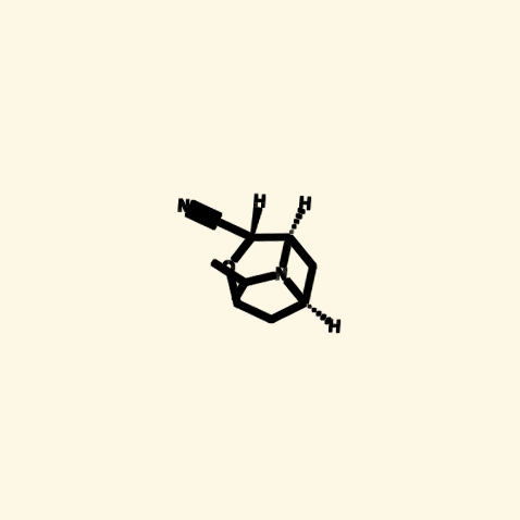 CC(C)N1[C@@H]2CCO[C@H](C#N)[C@H]1C2